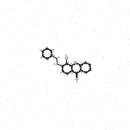 O=c1c2ccccc2sc2c(Cl)c(SCc3ccccc3)ccc12